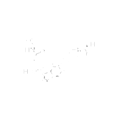 CC(=O)NCCCOc1ccc2occ(C(C)CCC(=O)NC=O)c2c1